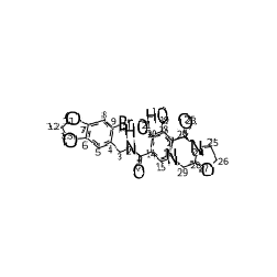 O=C(NCc1cc2c(cc1Br)OCO2)c1cn2c(c(O)c1=O)C(=O)N1CCOC1C2